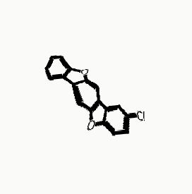 Clc1ccc2oc3cc4c(cc3c2c1)oc1ccccc14